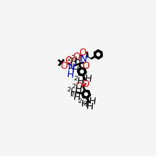 [2H]C([2H])([2H])c1ccc(C(=O)OC([2H])([2H])c2ccc(C([2H])(C(=O)N3C(=O)OC[C@H]3Cc3ccccc3)C([2H])([2H])NC(=O)OC(C)(C)C)cc2)c(C([2H])([2H])[2H])c1